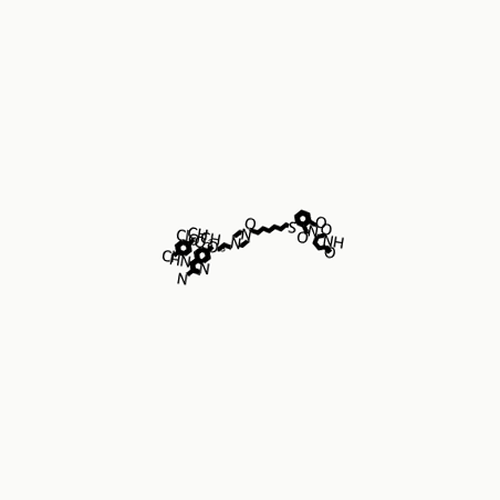 COc1cc(Nc2c(C#N)cnc3cc(OCCCN4CCN(C(=O)CCCCCCSc5cccc6c5C(=O)N(C5CCC(=O)NC5=O)C6=O)CC4)c(OC)cc23)c(Cl)cc1Cl